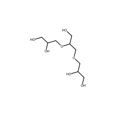 OCC(O)COCC(CO)OCC(O)CO